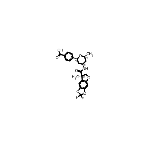 C[C@H]1C[C@@H](NC(=O)[C@@]2(C)COc3cc4c(cc32)OC(F)(F)O4)C[C@@H](c2ccc(C(=O)O)cc2)O1